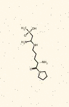 C[N+]([O-])(O)CC(N)NCCC[C@H](N)C(=O)N1CCCC1